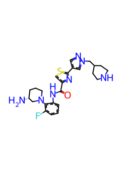 N[C@@H]1CCCN(c2c(F)cccc2NC(=O)c2csc(-c3cnn(CC4CCNCC4)c3)n2)C1